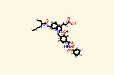 CCCCC(CC)C(=O)Nc1ccc2c(/C=C/C(=O)O)cn(Cc3ccc(C(=O)NS(=O)(=O)c4ccccc4)cc3OC)c2c1